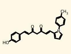 Cc1ccc(-n2cccc2/C=C/C(=O)CC(=O)/C=C/c2ccc(O)cc2)cc1